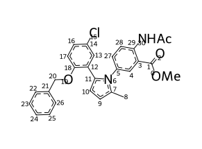 COC(=O)c1cc(-n2c(C)ccc2-c2cc(Cl)ccc2OCc2ccccc2)ccc1NC(C)=O